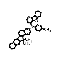 Cc1ccc(N(c2ccc3c4c(ccc3c2)-c2cc3ccccc3cc2C4(C)C)c2cccc3c2oc2ccccc23)cc1